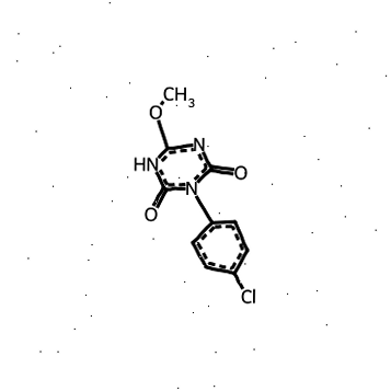 COc1nc(=O)n(-c2ccc(Cl)cc2)c(=O)[nH]1